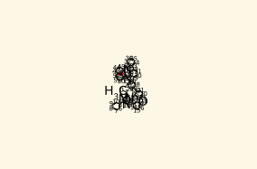 CCc1nc(-c2ccccc2)nc(-c2cccc3oc4ccc(-c5ccc6c(c5)c5ccc7c8ccccc8n(-c8ccccc8)c7c5n6-c5ccccc5)cc4c23)n1